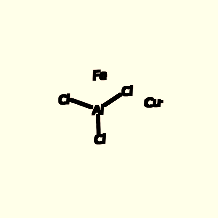 [Cl][Al]([Cl])[Cl].[Cu].[Fe]